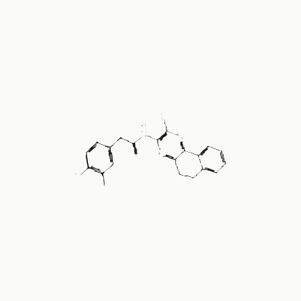 CCc1nc2c(nc1NC(=O)Cc1ccc(F)c(F)c1)CCc1ccccc1-2